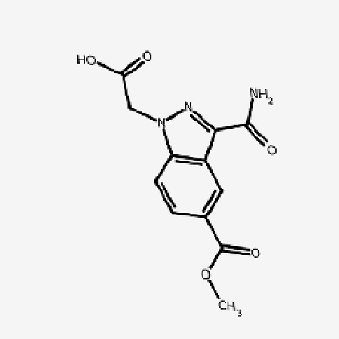 COC(=O)c1ccc2c(c1)c(C(N)=O)nn2CC(=O)O